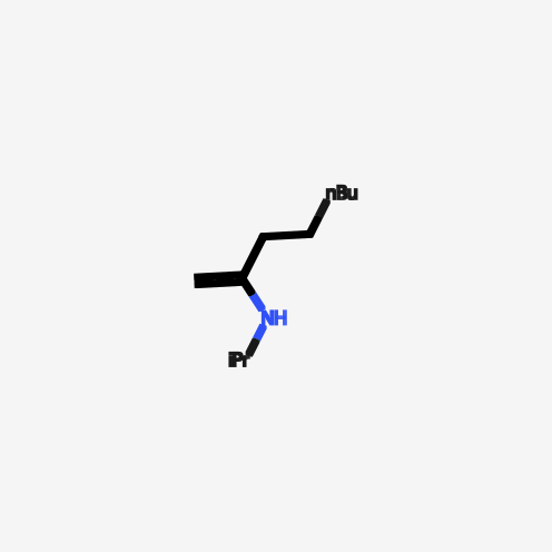 C=C(CCCCCC)NC(C)C